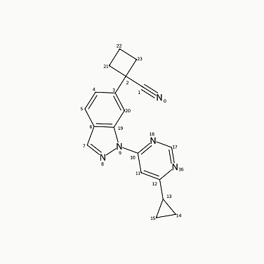 N#CC1(c2ccc3cnn(-c4cc(C5CC5)ncn4)c3c2)CCC1